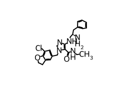 CCNC(=O)c1c(NC[C@H](N)Cc2ccccc2)ncn1Cc1cc(Cl)c2c(c1)CCO2